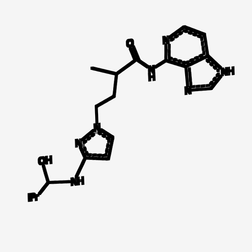 CC(CCn1ccc(NC(O)C(C)C)n1)C(=O)Nc1nccc2[nH]cnc12